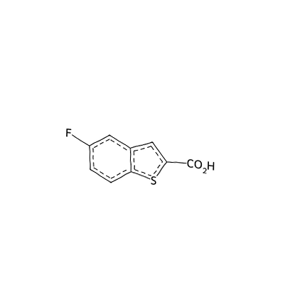 O=C(O)c1cc2cc(F)ccc2s1